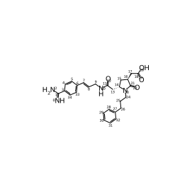 N=C(N)c1ccc(C=CCNC(=O)C[C@@H]2C[C@@H](CC(=O)O)C(=O)N2CCCc2ccccc2)cc1